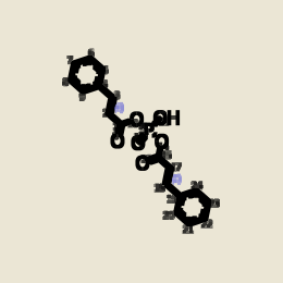 O=C(/C=C/c1ccccc1)OP(=O)(O)OC(=O)/C=C/c1ccccc1